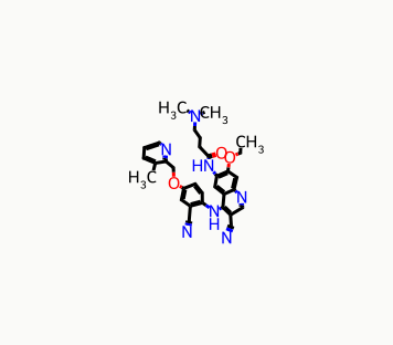 CCOc1cc2ncc(C#N)c(Nc3ccc(OCc4ncccc4C)cc3C#N)c2cc1NC(=O)CCCN(C)C